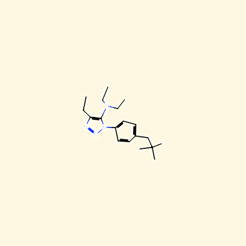 CCc1nnn(-c2ccc(CC(C)(C)C)cc2)c1N(CC)CC